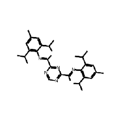 CC(=Nc1c(C(C)C)cc(C)cc1C(C)C)c1ncnc(C(C)=Nc2c(C(C)C)cc(C)cc2C(C)C)n1